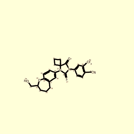 N#Cc1ccc(N2C(=O)C3(CCC3)N(c3ccc4c(c3)CCCC(CO)O4)C2=S)cc1C(F)(F)F